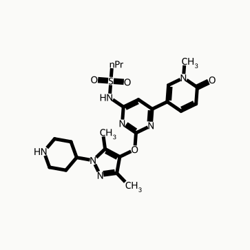 CCCS(=O)(=O)Nc1cc(-c2ccc(=O)n(C)c2)nc(Oc2c(C)nn(C3CCNCC3)c2C)n1